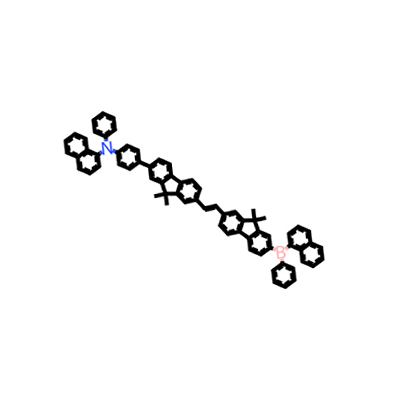 CC1(C)c2cc(/C=C/c3ccc4c(c3)C(C)(C)c3cc(-c5ccc(N(c6ccccc6)c6cccc7ccccc67)cc5)ccc3-4)ccc2-c2ccc(B(c3ccccc3)c3cccc4ccccc34)cc21